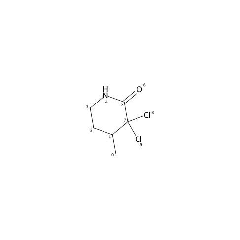 CC1CCNC(=O)C1(Cl)Cl